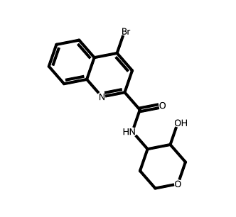 O=C(NC1CCOCC1O)c1cc(Br)c2ccccc2n1